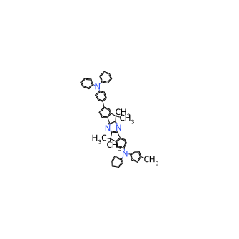 Cc1ccc(N(c2ccccc2)c2ccc3c(c2)C(C)(C)c2nc4c(nc2-3)C(C)(C)c2cc(-c3ccc(N(c5ccccc5)c5ccccc5)cc3)ccc2-4)cc1